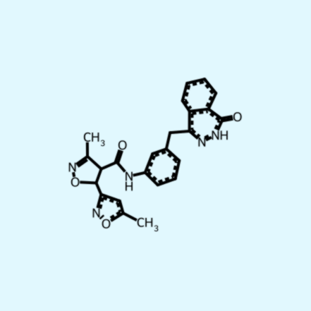 CC1=NOC(c2cc(C)on2)C1C(=O)Nc1cccc(Cc2n[nH]c(=O)c3ccccc23)c1